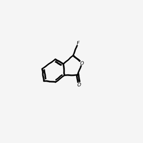 O=C1OC(F)c2ccccc21